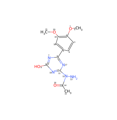 COc1ccc(-c2nc(O)nc(N(N)C(C)=O)n2)cc1OC